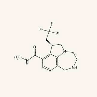 CNC(=O)c1ccc2c3c1[C@@H](CC(F)(F)F)CN3CCNC2